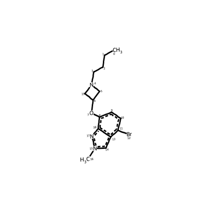 CCCCN1CC(Oc2ccc(Br)c3cn(C)nc23)C1